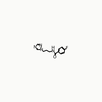 O=C(NCCCn1cncn1)c1ccc(F)cc1